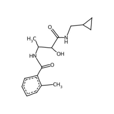 Cc1ccccc1C(=O)NC(C)C(O)C(=O)NCC1CC1